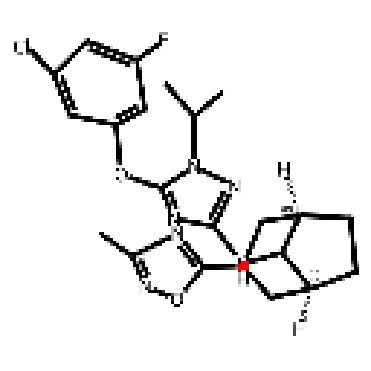 Cc1noc(N2C[C@H]3CC[C@@H](C2)C3Nc2nc(Oc3cc(F)cc(Cl)c3)n(C(C)C)n2)n1